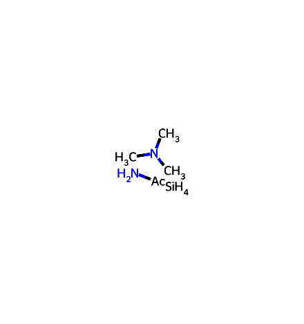 CC(N)=O.CN(C)C.[SiH4]